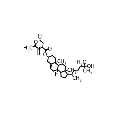 CC(=O)N[C@@H](CS)C(=O)O[C@H]1CC[C@@]2(C)C(=CC[C@H]3C4CCC([C@H](C)CCCC(C)(C)O)[C@@]4(C)CCC32)C1